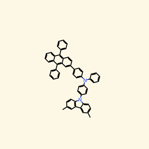 Cc1ccc2c(c1)c1cc(C)ccc1n2-c1ccc(N(c2ccccc2)c2ccc(-c3ccc4c(-c5ccccc5)c5ccccc5c(-c5ccccc5)c4c3)cc2)cc1